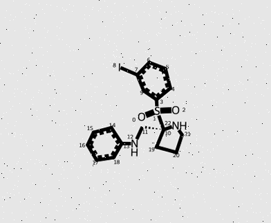 O=S(=O)(c1cccc(I)c1)[C@]1(CNc2ccccc2)CCCN1